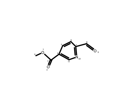 COC(=O)c1ccc([C]=O)nc1